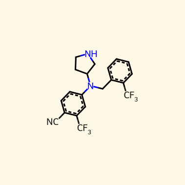 N#Cc1ccc(N(Cc2ccccc2C(F)(F)F)C2CCNC2)cc1C(F)(F)F